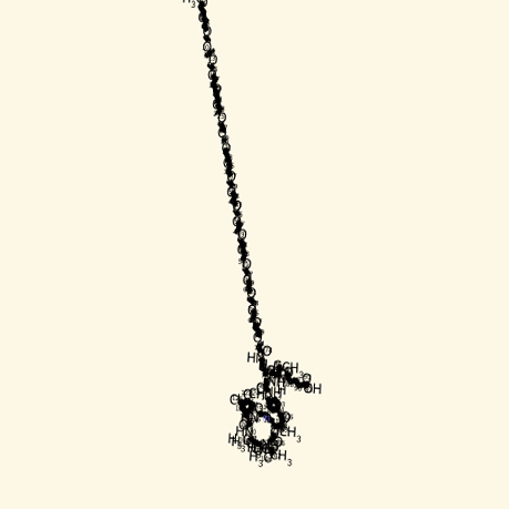 COCCOCCOCCOCCOCCOCCOCCOCCOCCOCCOCCOCCOCCOCCOCCOCCOCCOCCOCCOCCOCCOCCOCCOCCC(=O)NCCCC[C@H](NC(=O)[C@@H](NC(=O)CCCC(=O)O)C(C)C)C(=O)NCc1ccc([C@H]2O[C@@H]2[C@@H](C)[C@@H]2C/C=C/C(=O)N[C@H](Cc3ccc(OC)c(Cl)c3)C(=O)N[C@@H](C)C(C)(C)C(=O)N[C@@H](CC(C)(C)C)C(=O)O2)cc1